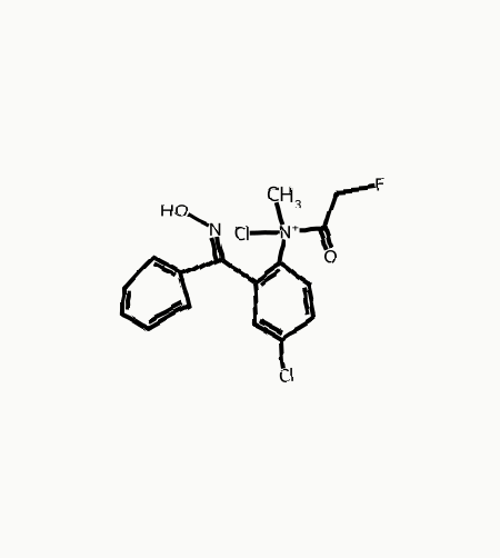 C[N+](Cl)(C(=O)CF)c1ccc(Cl)cc1C(=NO)c1ccccc1